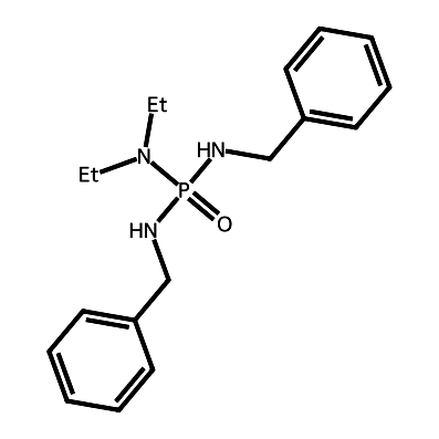 CCN(CC)P(=O)(NCc1ccccc1)NCc1ccccc1